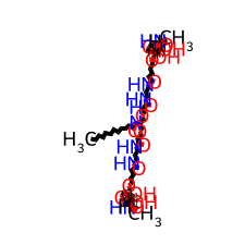 CCCCCCCCCCCC(=O)NC(COCCC(=O)NCCCNC(=O)CCCCOC[C@@]12CO[C@@H](O1)[C@H](NC(C)=O)[C@@H](O)[C@H]2O)COCCC(=O)NCCCNC(=O)CCCCOC[C@@]12CO[C@@H](O1)[C@H](NC(C)=O)[C@@H](O)[C@H]2O